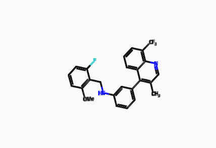 COc1cccc(F)c1CNc1cccc(-c2c(C)cnc3c(C(F)(F)F)cccc23)c1